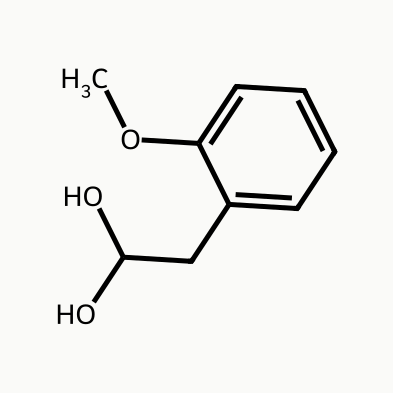 COc1ccccc1CC(O)O